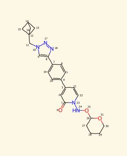 O=c1cc(-c2ccc(-c3cn(CC45CC(C4)C5)nn3)cc2)ccn1NOC1CCCCO1